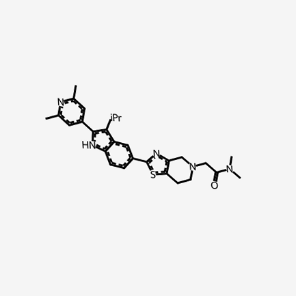 Cc1cc(-c2[nH]c3ccc(-c4nc5c(s4)CCN(CC(=O)N(C)C)C5)cc3c2C(C)C)cc(C)n1